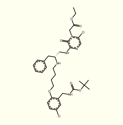 CCOC(=O)Cn1c(Cl)cnc(NC[C@@H](Cc2ccccc2)NCCCCOc2ccc(Cl)cc2CNC(=O)OC(C)(C)C)c1=O